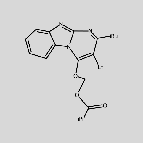 CCc1c(C(C)CC)nc2nc3ccccc3n2c1OCOC(=O)C(C)C